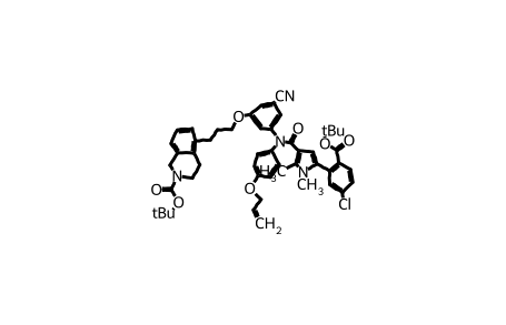 C=CCOc1ccc(N(C(=O)c2cc(-c3cc(Cl)ccc3C(=O)OC(C)(C)C)n(C)c2C)c2cc(C#N)cc(OCCCc3cccc4c3CCN(C(=O)OC(C)(C)C)C4)c2)cc1